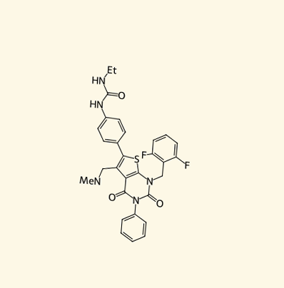 CCNC(=O)Nc1ccc(-c2sc3c(c2CNC)c(=O)n(-c2ccccc2)c(=O)n3Cc2c(F)cccc2F)cc1